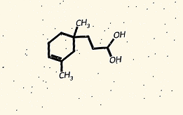 CC1=CCCC(C)(CCC(O)O)C1